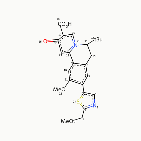 COCc1ncc(-c2cc3c(cc2OC)-c2cc(=O)c(C(=O)O)cn2C(C(C)(C)C)C3)s1